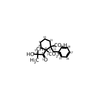 CC(C)(O)C(=O)C1(C(=O)O)CCCCC1(Cc1ccccc1)C(=O)O